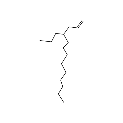 C=CCC(CCC)CCCCCCCCC